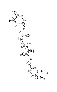 Cc1ccc(OCC(=O)NC23CC(NC(=O)COc4ccc(Cl)c(F)c4)(C2)C3)cc1C